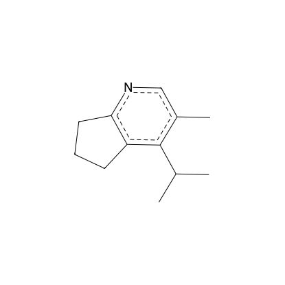 Cc1cnc2c(c1C(C)C)CCC2